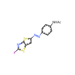 CC(=O)Nc1ccc(N=Nc2cc3sc(I)nc3s2)cc1